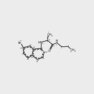 CCCNC(=O)[C@H](C)Nc1ncnc2ccc(Br)cc12